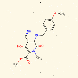 COC(=O)c1c(O)c(C=N)c(NCc2ccc(OC)cc2)c(=O)n1C